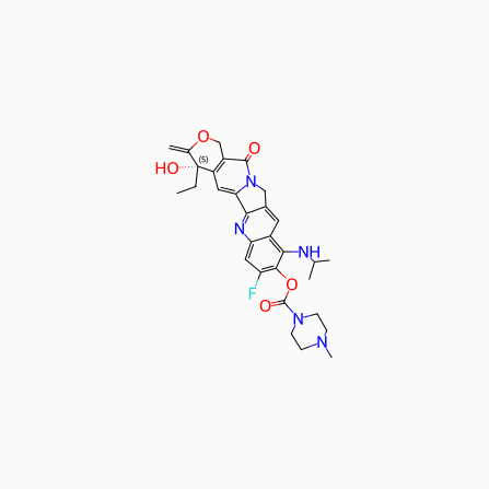 C=C1OCc2c(cc3n(c2=O)Cc2cc4c(NC(C)C)c(OC(=O)N5CCN(C)CC5)c(F)cc4nc2-3)[C@@]1(O)CC